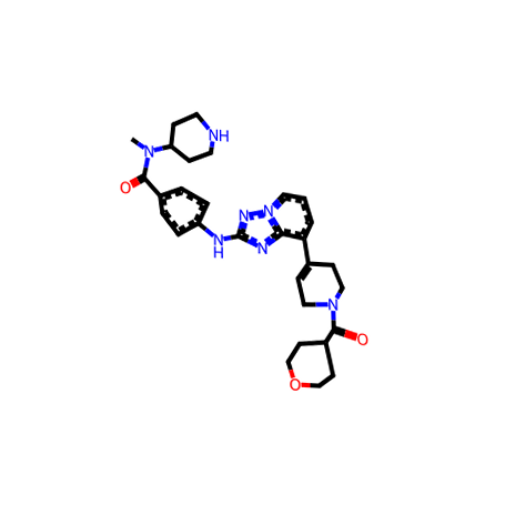 CN(C(=O)c1ccc(Nc2nc3c(C4=CCN(C(=O)C5CCOCC5)CC4)cccn3n2)cc1)C1CCNCC1